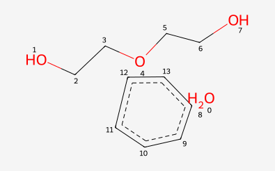 O.OCCOCCO.c1ccccc1